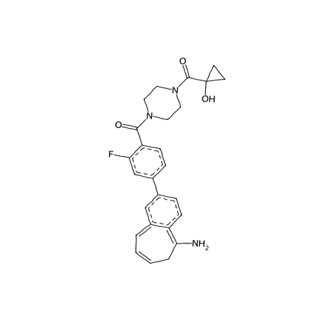 NC1=c2ccc(-c3ccc(C(=O)N4CCN(C(=O)C5(O)CC5)CC4)c(F)c3)cc2=CC=CC1